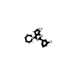 Cl.Clc1cccc(-c2nc3c(c(N4CCCCCC4)n2)CCC3)c1